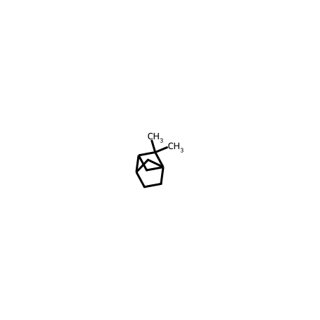 CC1(C)C2CC13CCC2C3